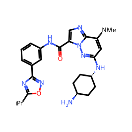 CNc1cc(N[C@H]2CC[C@H](N)CC2)nn2c(C(=O)Nc3cccc(-c4noc(C(C)C)n4)c3)cnc12